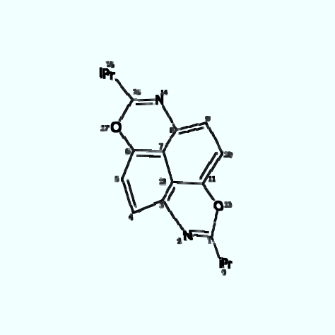 CC(C)C1=Nc2ccc3c4c(ccc(c24)O1)N=C(C(C)C)O3